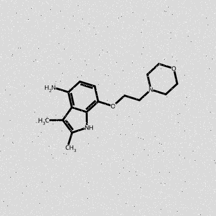 Cc1[nH]c2c(OCCN3CCOCC3)ccc(N)c2c1C